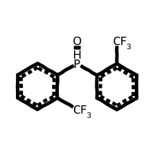 O=[PH](c1ccccc1C(F)(F)F)c1ccccc1C(F)(F)F